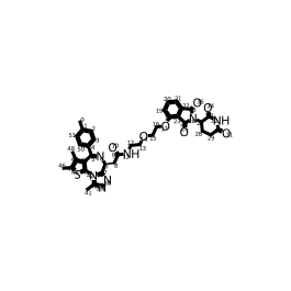 Cc1ccc(C2=N[C@@H](CC(=O)NCCOCCOc3cccc4c3C(=O)N(C3CCC(=O)NC3=O)C4=O)c3nnc(C)n3-c3sc(C)c(C)c32)cc1